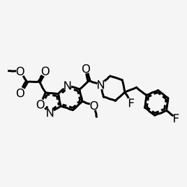 COC(=O)C(=O)c1onc2cc(OC)c(C(=O)N3CCC(F)(Cc4ccc(F)cc4)CC3)nc12